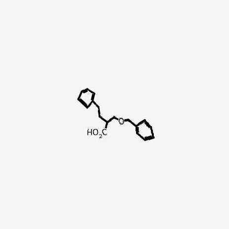 O=C(O)C(CCc1ccccc1)COCc1ccccc1